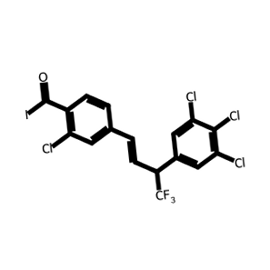 O=C(I)c1ccc(/C=C/C(c2cc(Cl)c(Cl)c(Cl)c2)C(F)(F)F)cc1Cl